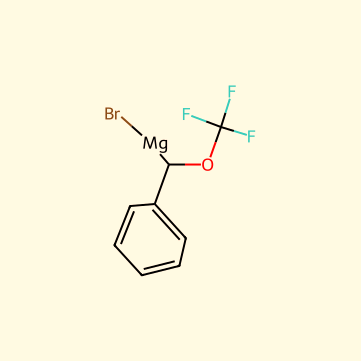 FC(F)(F)O[CH]([Mg][Br])c1ccccc1